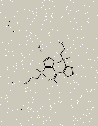 C[C](C)=[Zr+2]([C]1=C([Si](C)(C)CCO)C=CC1)[C]1=C([Si](C)(C)CCO)C=CC1.[Cl-].[Cl-]